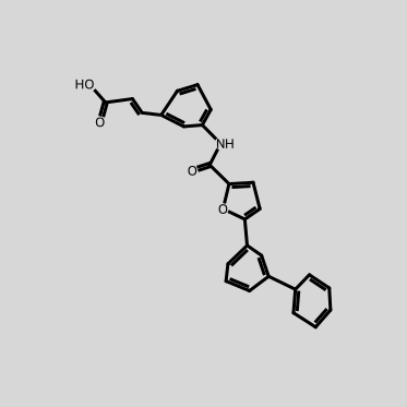 O=C(O)C=Cc1cccc(NC(=O)c2ccc(-c3cccc(-c4ccccc4)c3)o2)c1